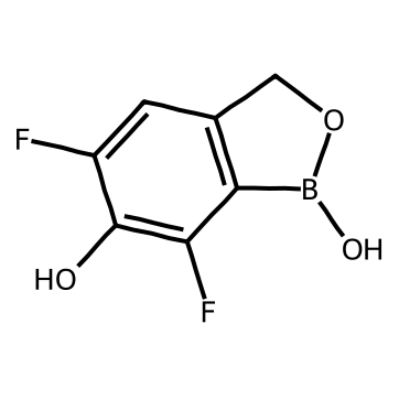 OB1OCc2cc(F)c(O)c(F)c21